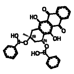 C[C@]1(OB(O)c2ccccc2)Cc2c(O)c3c(c(O)c2[C@@H](OB(O)c2ccccc2)C1)C(=O)c1ccccc1C3=O